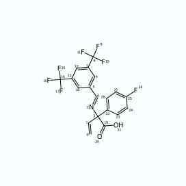 C=CC(N=Cc1cc(C(F)(F)F)cc(C(F)(F)F)c1)(C(=O)O)c1ccc(F)cc1